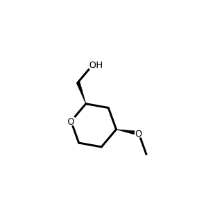 CO[C@H]1CCO[C@@H](CO)C1